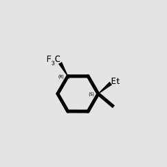 CC[C@@]1(C)CCC[C@@H](C(F)(F)F)C1